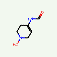 O=CNC1=CCN(O)CC1